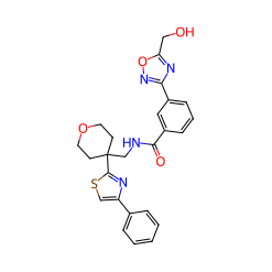 O=C(NCC1(c2nc(-c3ccccc3)cs2)CCOCC1)c1cccc(-c2noc(CO)n2)c1